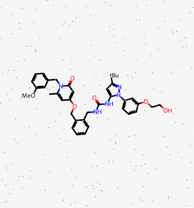 COc1cccc(Cn2c(C)cc(OCc3ccccc3CNC(=O)Nc3cc(C(C)(C)C)nn3-c3cccc(OCCO)c3)cc2=O)c1